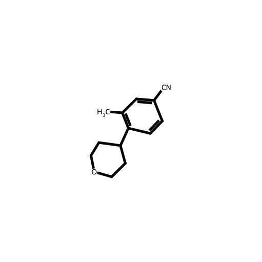 Cc1cc(C#N)ccc1C1CCOCC1